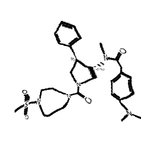 CN(C)c1ccc(C(=O)N(C)[C@@H]2CN(C(=O)N3CCN(S(C)(=O)=O)CC3)C[C@H]2c2ccccc2)cc1